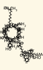 CC[C@H](C)C[C@H](C)CCCCCCCCC(=O)N[C@H]1C[C@@H](O)[C@@H](OCCN)NC(=O)[C@@H]2[C@@H](O)CCN2C(=O)[C@H]([C@H](O)CCNC(=O)[C@@H](N)CCCCNC(=O)[C@H](Cc2ccccc2)NC(=O)[C@H](CC(C)C)NC(=O)[C@H](CCSC)NC=O)NC(=O)[C@H]([C@H](O)[C@@H](O)c2ccc(O)cc2)NC(=O)[C@@H]2C[C@@H](O)CN2C(=O)[C@H]([C@@H](C)O)NC1=O